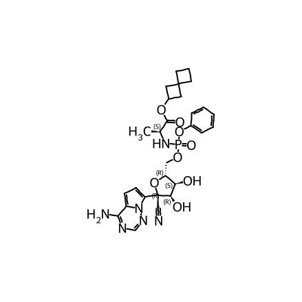 C[C@H](NP(=O)(OC[C@H]1O[C@@](C#N)(c2ccc3c(N)ncnn23)[C@H](O)[C@@H]1O)Oc1ccccc1)C(=O)OC1CC2(CCC2)C1